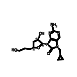 Nc1ncc2c(n1)n([C@@H]1O[C@@H](CCCO)C[C@H]1O)c(=O)n2CC1CC1